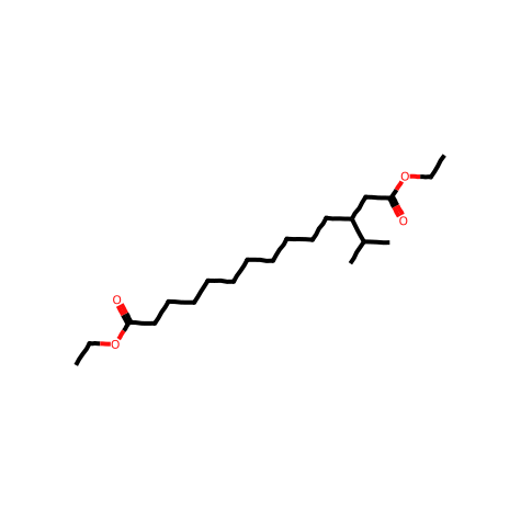 CCOC(=O)CCCCCCCCCCC(CC(=O)OCC)C(C)C